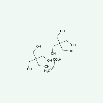 C=CC(=O)O.OCC(CO)(CO)CO.OCC(CO)(CO)CO